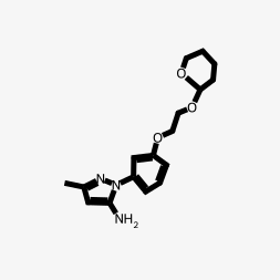 Cc1cc(N)n(-c2cccc(OCCOC3CCCCO3)c2)n1